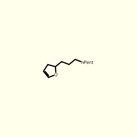 CCCCCCCCC1CC=CO1